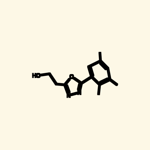 Cc1cc(C)c(C)c(-c2nnc(CCO)o2)c1